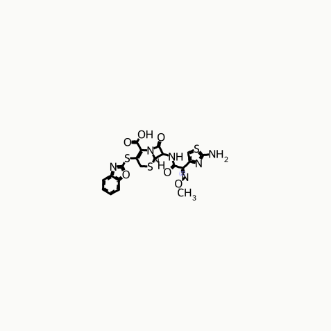 CO/N=C(\C(=O)NC1C(=O)N2C(C(=O)O)=C(Sc3nc4ccccc4o3)CS[C@H]12)c1csc(N)n1